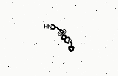 O=S(=O)(CCCC1CCNCC1)c1ccc2c(c1)CCN(Cc1ccccc1)CC2